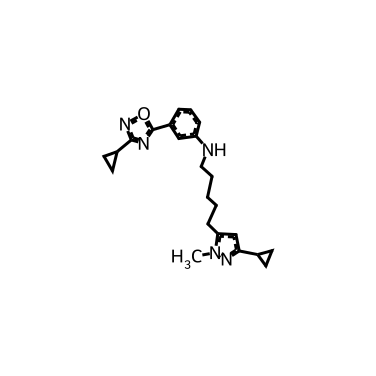 Cn1nc(C2CC2)cc1CCCCCNc1cccc(-c2nc(C3CC3)no2)c1